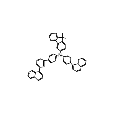 CC1(C)c2ccccc2-c2cc(N(c3ccc(-c4cccc(-c5cccc6ccccc56)c4)cc3)c3ccc(-c4cccc5ccccc45)cc3)ccc21